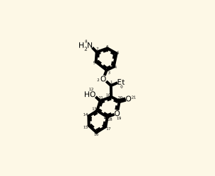 CCC(Oc1cccc(N)c1)c1c(O)c2ccccc2oc1=O